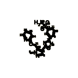 Cn1ncc(-c2nc(-c3cccc(S(N)(=O)=O)c3)no2)c1COc1ccccn1